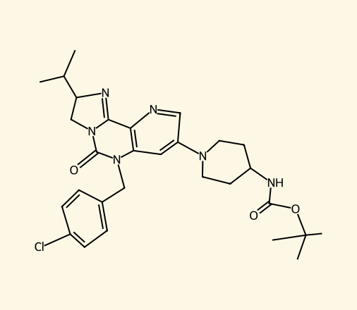 CC(C)C1CN2C(=O)N(Cc3ccc(Cl)cc3)c3cc(N4CCC(NC(=O)OC(C)(C)C)CC4)cnc3C2=N1